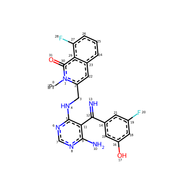 CC(C)n1c(CNc2ncnc(N)c2C(=N)c2cc(O)cc(F)c2)cc2cccc(F)c2c1=O